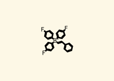 Fc1ccc([B-](/C=C/c2ccccc2)(c2ccc(F)cc2)c2ccc(F)cc2)cc1